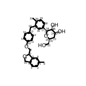 Cc1ccc2c(c1)C(COc1ccc(Cc3cc([C@@H]4O[C@H](CO)C[C@H](O)[C@H]4O)ccc3C)cc1)OC2